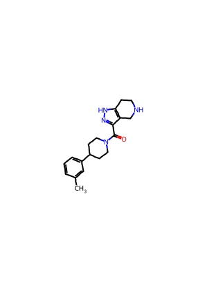 Cc1cccc(C2CCN(C(=O)c3n[nH]c4c3CNCC4)CC2)c1